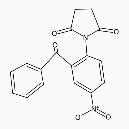 O=C(c1ccccc1)c1cc([N+](=O)[O-])ccc1N1C(=O)CCC1=O